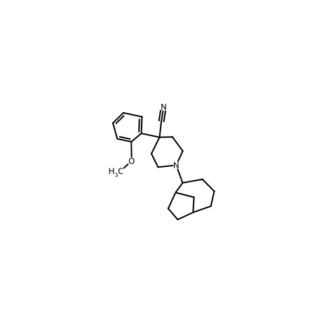 COc1ccccc1C1(C#N)CCN(C2CCCC3CCC2C3)CC1